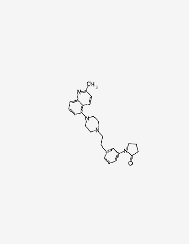 Cc1ccc2c(N3CCN(CCc4cccc(N5CCCC5=O)c4)CC3)cccc2n1